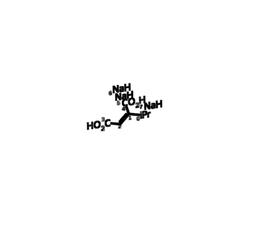 CC(C)/C(=C/C(=O)O)C(=O)O.[NaH].[NaH].[NaH]